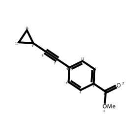 COC(=O)c1ccc(C#CC2CC2)cc1